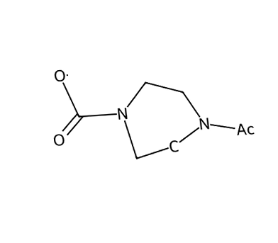 CC(=O)N1CCN(C([O])=O)CC1